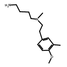 COc1ccc(CCN(C)CCCCN)cc1C